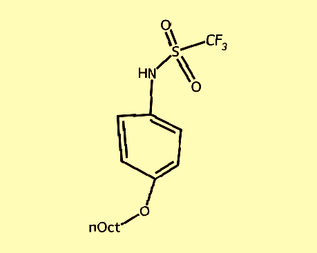 CCCCCCCCOc1ccc(NS(=O)(=O)C(F)(F)F)cc1